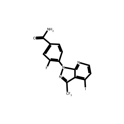 NC(=O)c1ccc(-n2nc(C(F)(F)F)c3c(I)ccnc32)c(F)c1